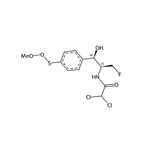 COOSc1ccc([C@@H](O)[C@@H](CF)NC(=O)C(Cl)Cl)cc1